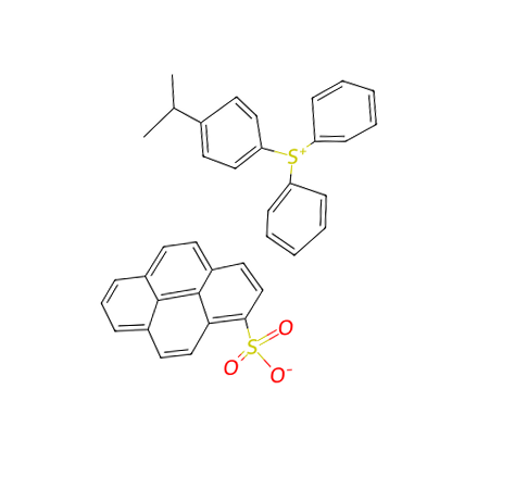 CC(C)c1ccc([S+](c2ccccc2)c2ccccc2)cc1.O=S(=O)([O-])c1ccc2ccc3cccc4ccc1c2c34